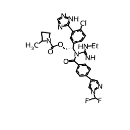 CCNC(=N)N(C(=O)c1ccc(-c2cnn(C(F)F)c2)cc1)[C@H](COC(=O)N1CCC1C)c1ccc(Cl)c(-c2ncn[nH]2)c1